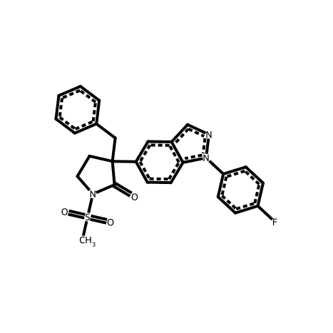 CS(=O)(=O)N1CCC(Cc2ccccc2)(c2ccc3c(cnn3-c3ccc(F)cc3)c2)C1=O